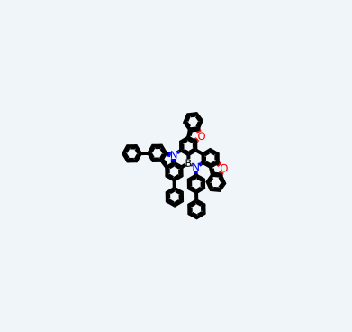 c1ccc(-c2ccc(N3B4c5c(cc6c(oc7ccccc76)c5-c5ccc6oc7ccccc7c6c53)-n3c5ccc(-c6ccccc6)cc5c5cc(-c6ccccc6)cc4c53)cc2)cc1